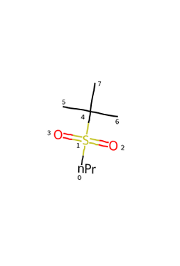 [CH2]CCS(=O)(=O)C(C)(C)C